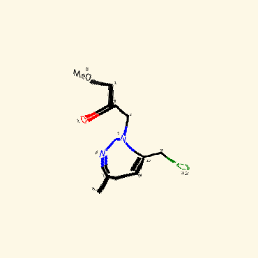 COCC(=O)Cn1nc(C)cc1CCl